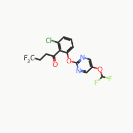 O=C(CCC(F)(F)F)c1c(Cl)cccc1Oc1ncc(OC(F)F)cn1